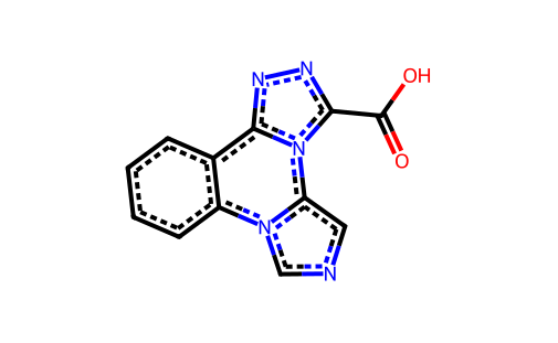 O=C(O)c1nnc2c3ccccc3n3cncc3n12